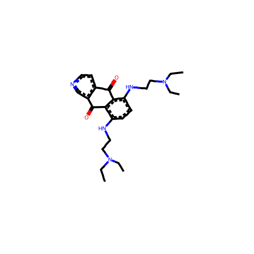 CCN(CC)CCNc1ccc(NCCN(CC)CC)c2c1C(=O)c1ccncc1C2=O